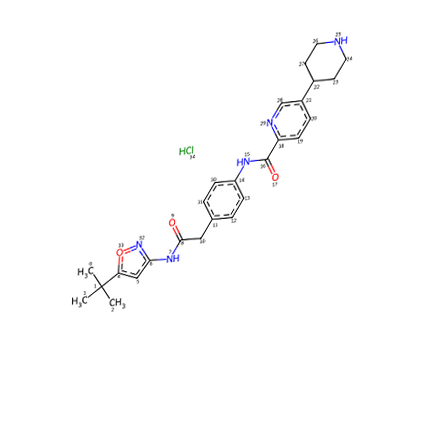 CC(C)(C)c1cc(NC(=O)Cc2ccc(NC(=O)c3ccc(C4CCNCC4)cn3)cc2)no1.Cl